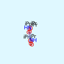 C=C(C)C(=O)OCCOC(=O)Nc1ccc(/C(=C(/CC/C=C/C(=O)OCCOC(=O)Nc2ccc(C(=C(C(C)C)C(C)C)C(C)C)cc2)C(C)C)C(C)C)cc1